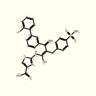 N=C(/C(Cc1ccc(S(N)(=O)=O)cc1)=C(/O)Nc1nc(C(=O)O)cs1)c1cccc(-c2ccccc2F)c1